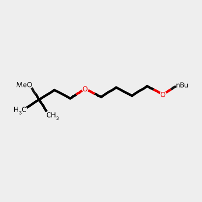 CCCCOCCCCOCCC(C)(C)OC